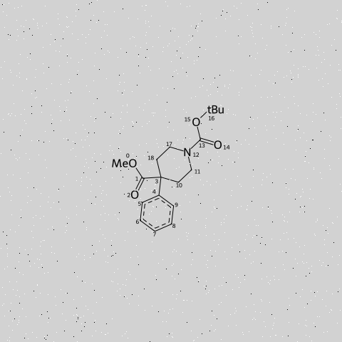 COC(=O)C1(c2ccccc2)CCN(C(=O)OC(C)(C)C)CC1